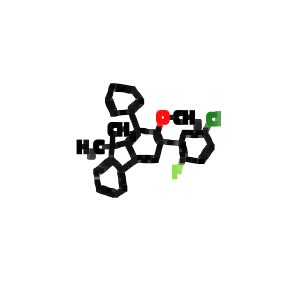 COc1c(-c2cc(Cl)ccc2F)cc2c(c1-c1ccccc1)C(C)(C)c1ccccc1-2